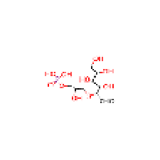 O=C[C@H](OCC(O)COP(=O)(O)O)[C@@H](O)[C@H](O)[C@H](O)CO